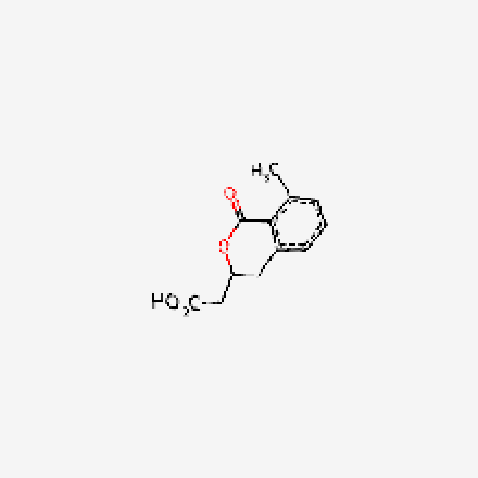 Cc1cccc2c1C(=O)OC(CC(=O)O)C2